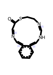 O=C1\C=N/C=c2/cccc/c2=C/N/C=N\CCS1